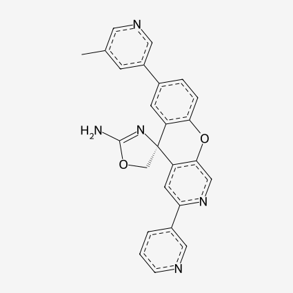 Cc1cncc(-c2ccc3c(c2)[C@@]2(COC(N)=N2)c2cc(-c4cccnc4)ncc2O3)c1